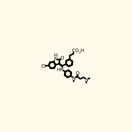 CN(C)CCC(=O)N(C)c1ccc(NC(=C2C(=O)Nc3cc(Cl)ccc32)c2cccc(CCC(=O)O)c2)cc1